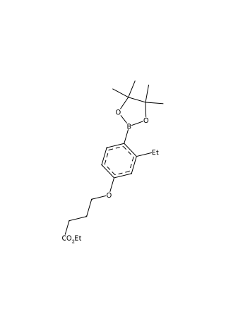 CCOC(=O)CCCOc1ccc(B2OC(C)(C)C(C)(C)O2)c(CC)c1